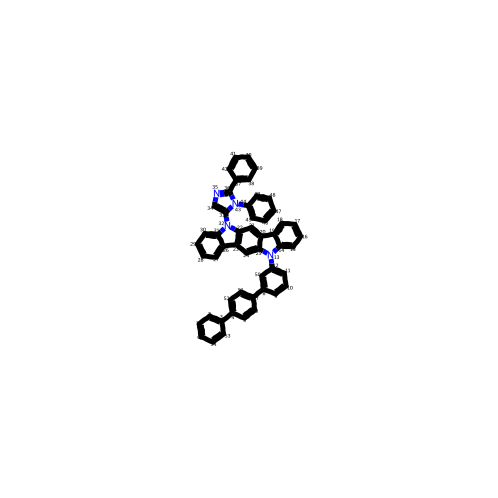 c1ccc(-c2ccc(-c3cccc(-n4c5ccccc5c5cc6c(cc54)c4ccccc4n6-c4cnc(-c5ccccc5)n4-c4ccccc4)c3)cc2)cc1